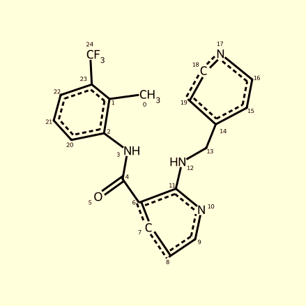 Cc1c(NC(=O)c2cccnc2NCc2ccncc2)cccc1C(F)(F)F